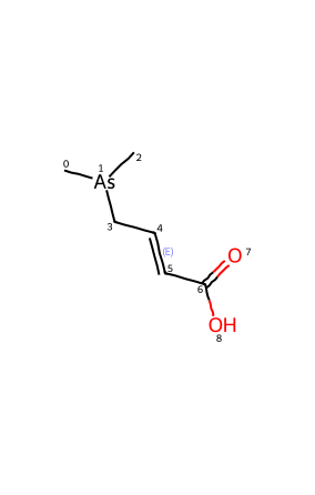 C[As](C)C/C=C/C(=O)O